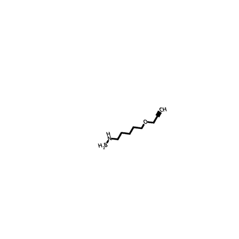 BNCCCCCOCC#C